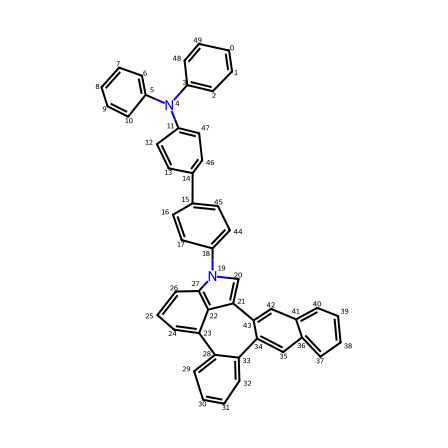 c1ccc(N(c2ccccc2)c2ccc(-c3ccc(-n4cc5c6c(cccc64)-c4ccccc4-c4cc6ccccc6cc4-5)cc3)cc2)cc1